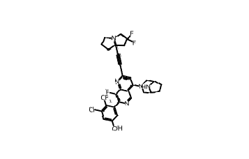 Oc1cc(Cl)c(C(F)(F)F)c(-c2ncc3c(N4CC5CCC(C4)N5)cc(C#CC45CCCN4CC(F)(F)C5)nc3c2F)c1